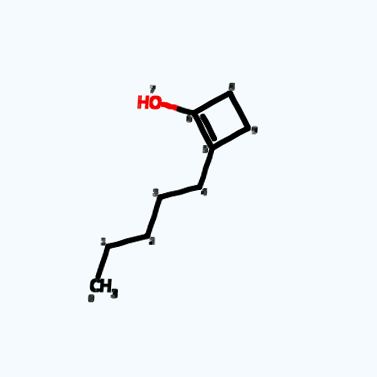 CCCCCC1=C(O)CC1